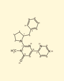 Cn1c(N2CCCC2Cc2ccccc2)nc(-c2ccncn2)cc1=O